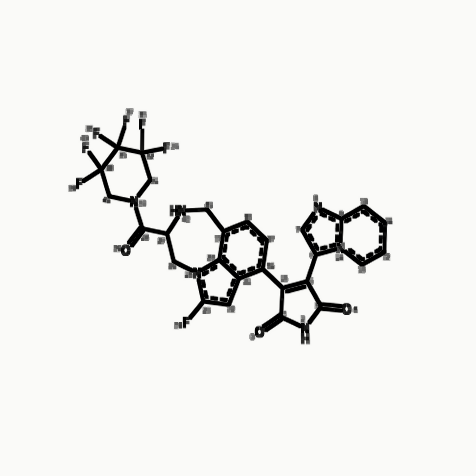 O=C1NC(=O)C(c2cnc3ccccn23)=C1c1ccc2c3c1cc(F)n3CC(C(=O)N1CC(F)(F)C(F)(F)C(F)(F)C1)NC2